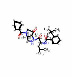 CC(C)C[C@H](NC(=O)c1ccccc1C(C)(C)C)C(=O)N1NC[C@@H]2[C@H]1C(=O)CN2C(=O)c1ccccc1